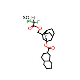 O=C(OC12CC3CCC(C(COC(=O)C(F)(F)S(=O)(=O)O)C1)C(C3)C2)C1CCC2CCCCC2C1